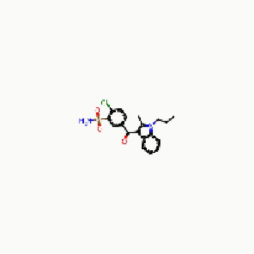 CCCn1c(C)c(C(=O)c2ccc(Cl)c(S(N)(=O)=O)c2)c2ccccc21